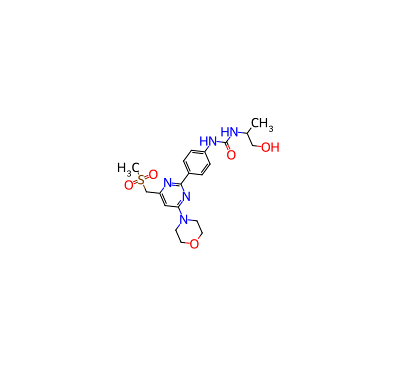 CC(CO)NC(=O)Nc1ccc(-c2nc(CS(C)(=O)=O)cc(N3CCOCC3)n2)cc1